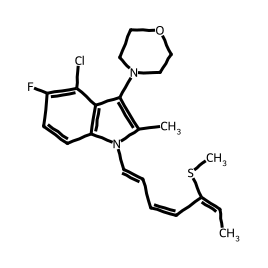 C\C=C(/C=C\C=C\n1c(C)c(N2CCOCC2)c2c(Cl)c(F)ccc21)SC